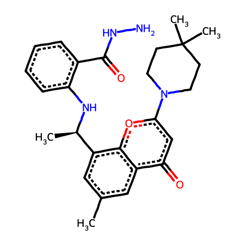 Cc1cc([C@@H](C)Nc2ccccc2C(=O)NN)c2oc(N3CCC(C)(C)CC3)cc(=O)c2c1